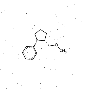 COC[C@H]1CCC[P@]1c1ccccc1